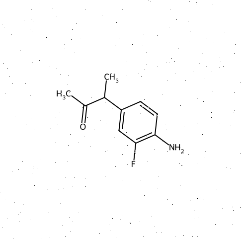 CC(=O)C(C)c1ccc(N)c(F)c1